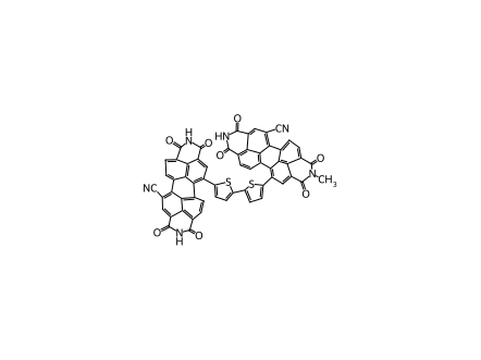 CN1C(=O)c2ccc3c4c(C#N)cc5c6c(ccc(c7c(-c8ccc(-c9ccc(-c%10cc%11c%12c(ccc%13c%14c(C#N)cc%15c%16c(ccc(c%10c%12%13)c%16%14)C(=O)NC%15=O)C(=O)NC%11=O)s9)s8)cc(c2c37)C1=O)c64)C(=O)NC5=O